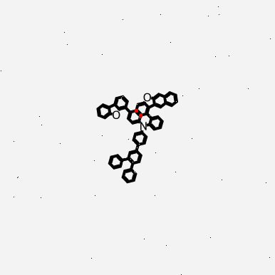 c1ccc(-c2ccc(-c3ccc(N(c4ccc(-c5cccc6c5oc5ccccc56)cc4)c4ccccc4-c4cccc5oc6cc7ccccc7cc6c45)cc3)cc2-c2ccccc2)cc1